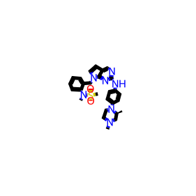 C[C@H]1CN(C)CCN1c1ccc(Nc2ncc3ccn(Cc4ccccc4N(C)S(C)(=O)=O)c3n2)cc1